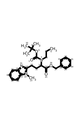 CCCN(C(=O)OC(C)(C)C)C(CCc1nc2ccccc2n1C)C(=O)OCc1ccccc1